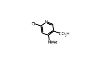 CNc1cc(Cl)ncc1C(=O)O